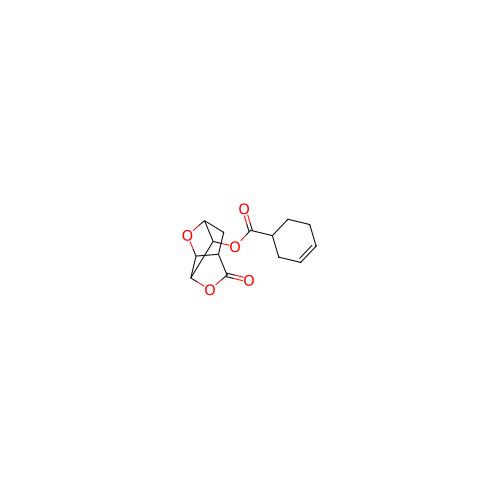 O=C(OC1C2CC3C(=O)OC1C3O2)C1CC=CCC1